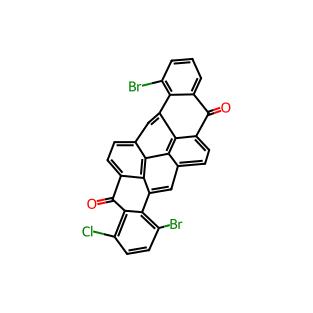 O=c1c2cccc(Br)c2c2cc3ccc4c(=O)c5c(Cl)ccc(Br)c5c5cc6ccc1c2c6c3c45